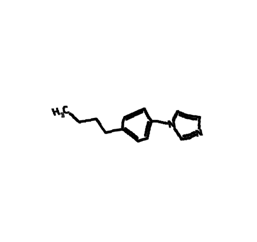 CCCCc1ccc(-n2ccnc2)cc1